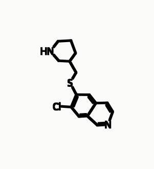 Clc1cc2cnccc2cc1SCC1CCCNC1